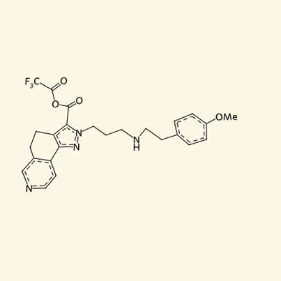 COc1ccc(CCNCCCn2nc3c(c2C(=O)OC(=O)C(F)(F)F)CCc2cnccc2-3)cc1